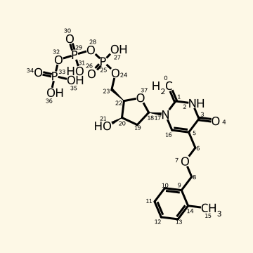 C=C1NC(=O)C(COCc2ccccc2C)=CN1[C@H]1C[C@@H](O)[C@@H](COP(=O)(O)OP(=O)(O)OP(=O)(O)O)O1